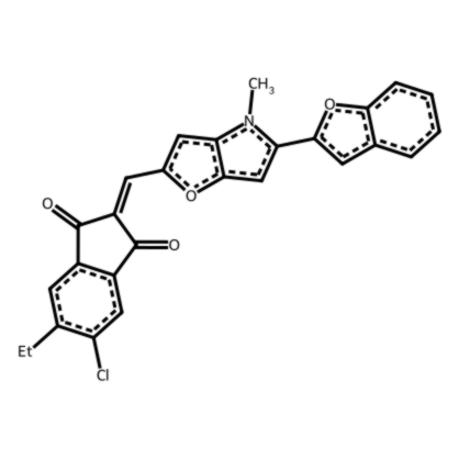 CCc1cc2c(cc1Cl)C(=O)/C(=C\c1cc3c(cc(-c4cc5ccccc5o4)n3C)o1)C2=O